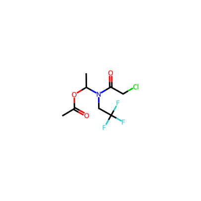 CC(=O)OC(C)N(CC(F)(F)F)C(=O)CCl